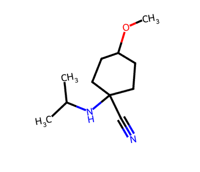 COC1CCC(C#N)(NC(C)C)CC1